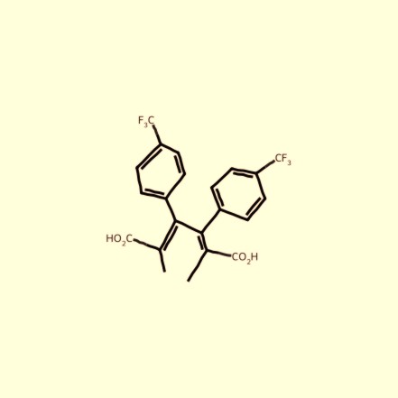 C/C(C(=O)O)=C(\C(=C(/C)C(=O)O)c1ccc(C(F)(F)F)cc1)c1ccc(C(F)(F)F)cc1